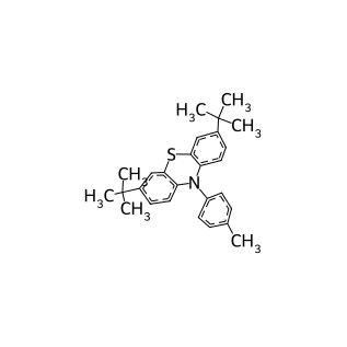 Cc1ccc(N2c3ccc(C(C)(C)C)cc3Sc3cc(C(C)(C)C)ccc32)cc1